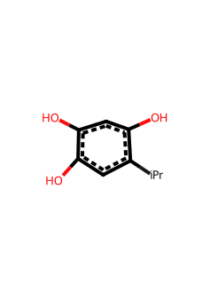 CC(C)c1cc(O)c(O)cc1O